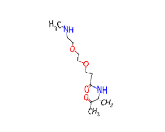 CNCCOCCOCCC(=O)N[C@H](C)C(C)=O